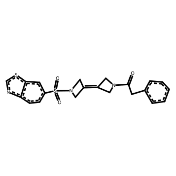 O=C(Cc1ccccc1)N1CC(=C2CN(S(=O)(=O)c3ccc4ncsc4c3)C2)C1